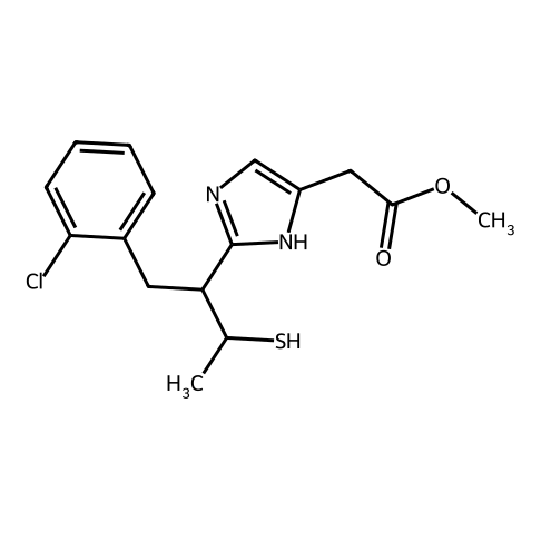 COC(=O)Cc1cnc(C(Cc2ccccc2Cl)C(C)S)[nH]1